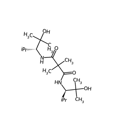 CC(C)[C@@H](NC(=O)C(C)(C)C(=O)N[C@H](C(C)C)C(C)(C)O)C(C)(C)O